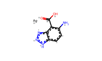 Nc1ccc2[nH]nnc2c1C(=O)O.[Ag]